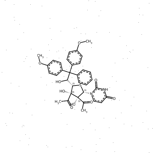 COc1ccc(C(c2ccccc2)(c2ccc(OC)cc2)C(O)[C@@H]2S[C@H](n3ccc(=O)[nH]c3=O)[C@@](O)(C(C)=O)[C@@]2(O)C(C)=O)cc1